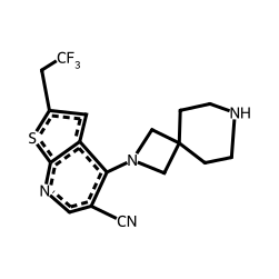 N#Cc1cnc2sc(CC(F)(F)F)cc2c1N1CC2(CCNCC2)C1